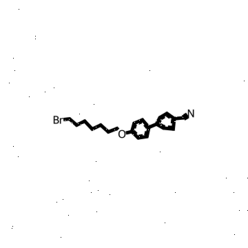 N#Cc1ccc(-c2ccc(OCCCCCCCBr)cc2)cc1